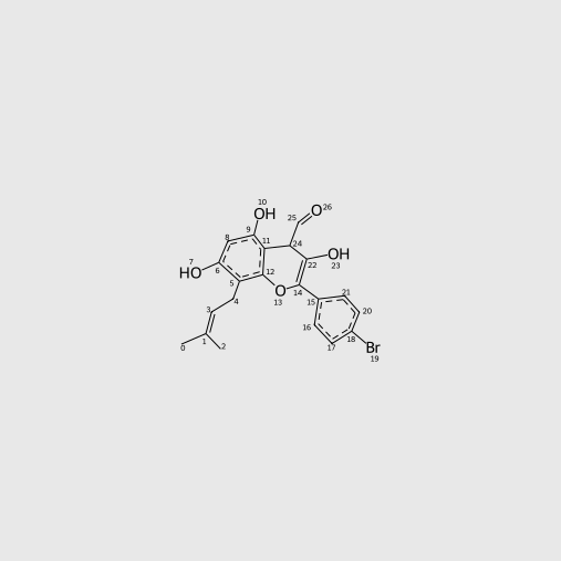 CC(C)=CCc1c(O)cc(O)c2c1OC(c1ccc(Br)cc1)=C(O)C2C=O